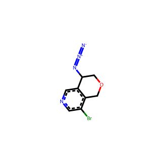 [N-]=[N+]=NC1COCc2c(Br)cncc21